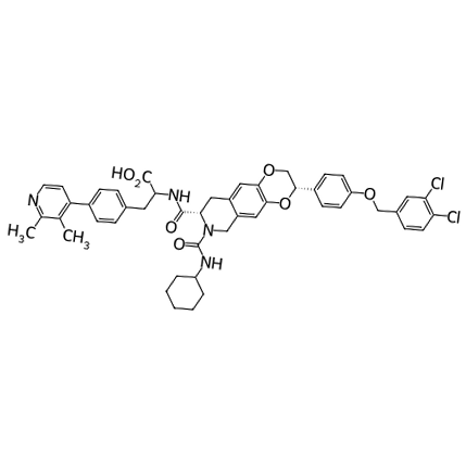 Cc1nccc(-c2ccc(CC(NC(=O)[C@@H]3Cc4cc5c(cc4CN3C(=O)NC3CCCCC3)O[C@@H](c3ccc(OCc4ccc(Cl)c(Cl)c4)cc3)CO5)C(=O)O)cc2)c1C